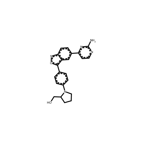 Nc1nccc(-c2ccc3noc(-c4ccc(N5CCCC5CO)cc4)c3c2)n1